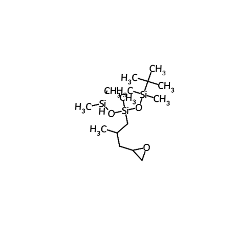 CC(CC1CO1)C[Si](C)(O[SiH](C)C)O[Si](C)(C)C(C)(C)C